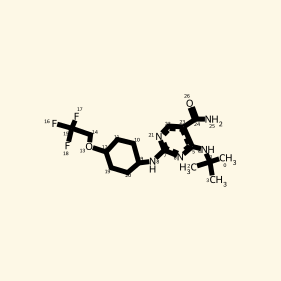 CC(C)(C)Nc1nc(NC2CCC(OCC(F)(F)F)CC2)ncc1C(N)=O